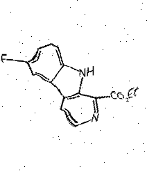 CCOC(=O)c1nccc2c1[nH]c1ccc(F)cc12